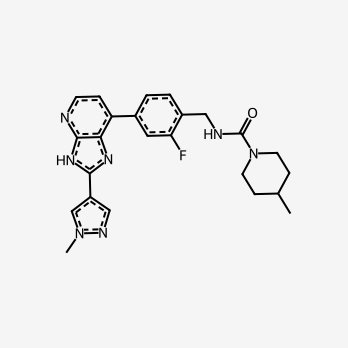 CC1CCN(C(=O)NCc2ccc(-c3ccnc4[nH]c(-c5cnn(C)c5)nc34)cc2F)CC1